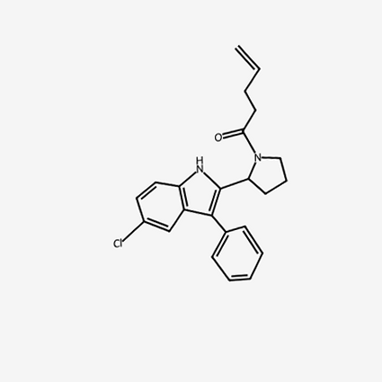 C=CCCC(=O)N1CCCC1c1[nH]c2ccc(Cl)cc2c1-c1ccccc1